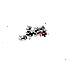 [2H]c1c([2H])c(-n2nnnc2N2C([2H])([2H])C([2H])([2H])N(C(=O)C(=O)c3c[nH]c4c(-n5cnc(C([2H])([2H])[2H])n5)ncc(OC([2H])([2H])[2H])c34)C([2H])([2H])C2([2H])[2H])c([2H])c([2H])c1C